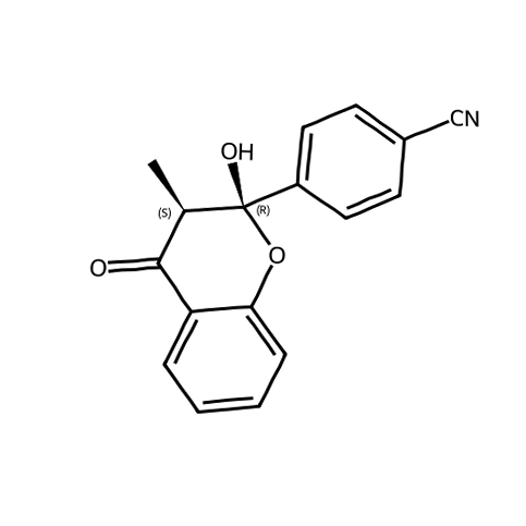 C[C@@H]1C(=O)c2ccccc2O[C@@]1(O)c1ccc(C#N)cc1